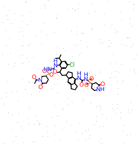 CC(=O)N1CC(S(=O)(=O)NC(=O)Nc2c(C(C)C)cc(Cl)cc2C(C)CC2CCc3c2cc2c(c3NC(=O)NS(=O)(=O)C3CCNC(=O)C3)CCC2)CCC1=O